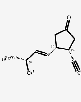 C#C[C@H]1CC(=O)C[C@H]1C=C[C@H](O)CCCCC